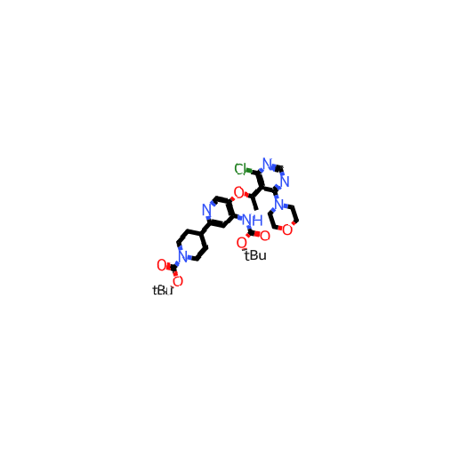 CC(Oc1cnc(C2CCN(C(=O)OC(C)(C)C)CC2)cc1NC(=O)OC(C)(C)C)c1c(Cl)ncnc1N1CCOCC1